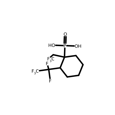 O=P(O)(O)C1(CC(F)(F)F)CCCCC1C(F)(F)C(F)(F)F